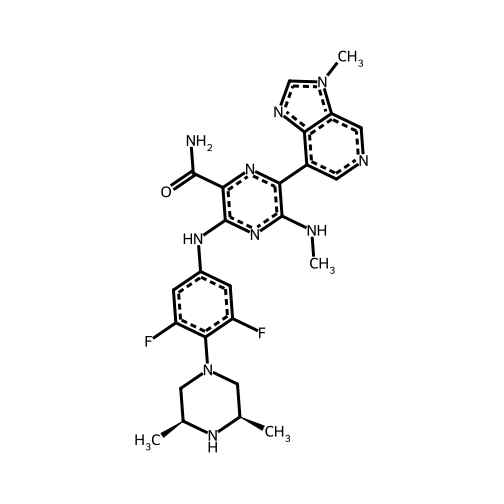 CNc1nc(Nc2cc(F)c(N3C[C@@H](C)N[C@@H](C)C3)c(F)c2)c(C(N)=O)nc1-c1cncc2c1ncn2C